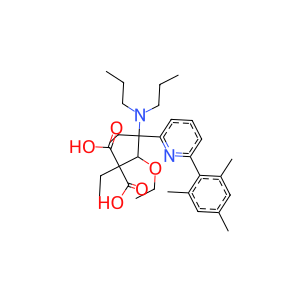 CCCN(CCC)C(CC)(c1cccc(-c2c(C)cc(C)cc2C)n1)C(OCC)C(CC)(C(=O)O)C(=O)O